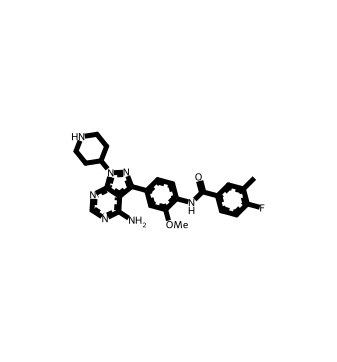 COc1cc(-c2nn(C3CCNCC3)c3ncnc(N)c23)ccc1NC(=O)c1ccc(F)c(C)c1